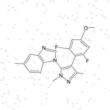 COc1cc(F)c(-c2c(C)nn(C)c2-n2cnc3cc(C)ccc32)c(F)c1